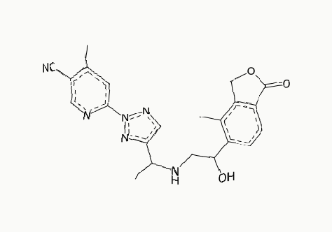 Cc1cc(-n2ncc(C(C)NCC(O)c3ccc4c(c3C)COC4=O)n2)ncc1C#N